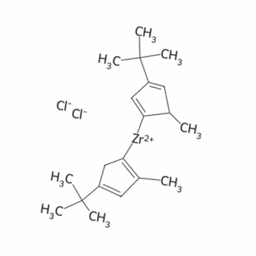 CC1=[C]([Zr+2][C]2=CC(C(C)(C)C)=CC2C)CC(C(C)(C)C)=C1.[Cl-].[Cl-]